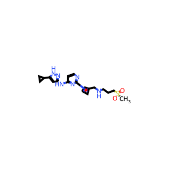 CS(=O)(=O)CCCNCC12CC(C1)N(c1nccc(Nc3cc(C4CC4)[nH]n3)n1)C2